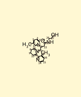 Cc1cccnc1[C@H]1CCC[C@@H](c2ncccc2C)N1CCCC(=O)NCCO